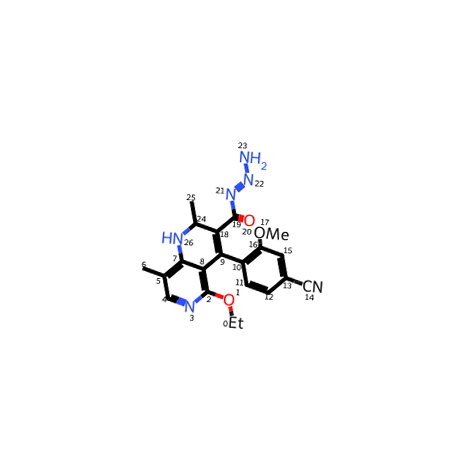 CCOc1ncc(C)c2c1C(c1ccc(C#N)cc1OC)=C(C(=O)N=NN)C(C)N2